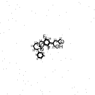 O=S1(=O)[C@@H](c2ccccc2)CCCN1Cc1cc(F)c(C(CO)CC2COC2)cc1F